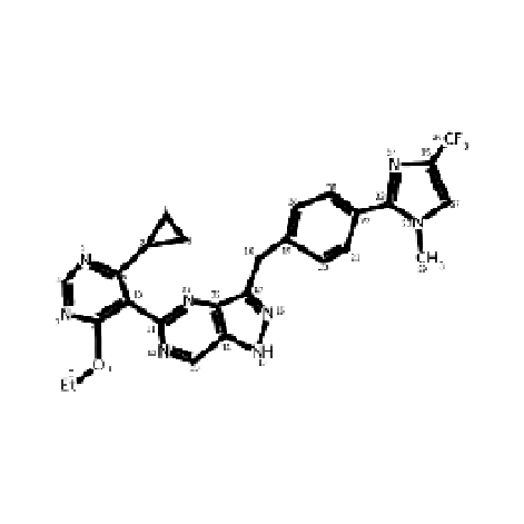 CCOc1ncnc(C2CC2)c1-c1ncc2[nH]nc(Cc3ccc(-c4nc(C(F)(F)F)cn4C)cc3)c2n1